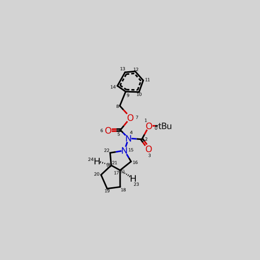 CC(C)(C)OC(=O)N(C(=O)OCc1ccccc1)N1C[C@H]2CCC[C@H]2C1